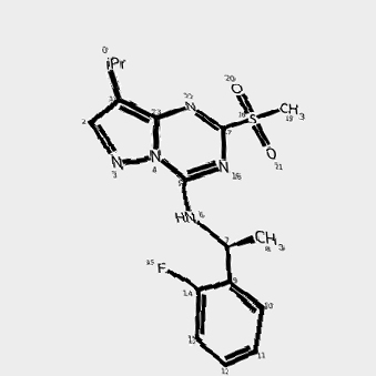 CC(C)c1cnn2c(N[C@@H](C)c3ccccc3F)nc(S(C)(=O)=O)nc12